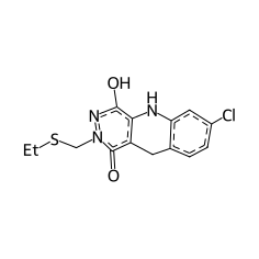 CCSCn1nc(O)c2c(c1=O)Cc1ccc(Cl)cc1N2